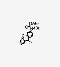 COC(=O)N(c1ccc(C(=O)c2cncn2C)cc1)C(C)(C)C